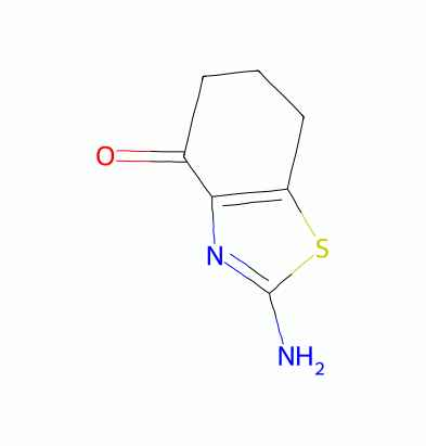 Nc1nc2c(s1)CCCC2=O